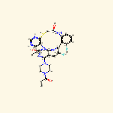 C=CC(=O)N1CCN(c2nc(=O)n3c4nc(c(F)cc24)-c2c(F)cccc2NC(=O)CSc2ncnc(C(C)C)c2-3)CC1